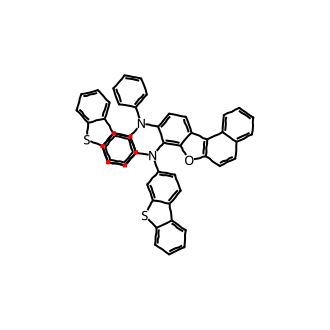 c1ccc(N(c2ccc3c(c2)sc2ccccc23)c2c(N(c3ccccc3)c3cccc4sc5ccccc5c34)ccc3c2oc2ccc4ccccc4c23)cc1